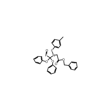 Cc1ccc(SN(CC(=O)OCc2ccccc2)C(Oc2ccccc2)(Oc2ccccc2)P=O)cc1